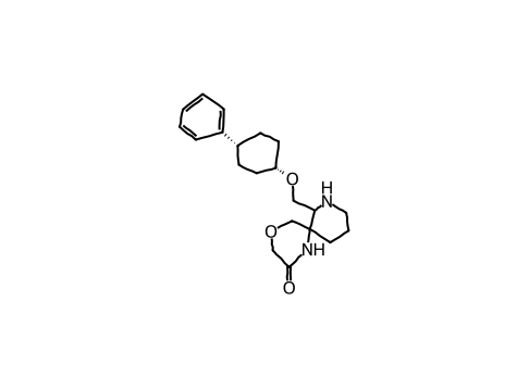 O=C1COCC2(CCCNC2CO[C@H]2CC[C@@H](c3ccccc3)CC2)N1